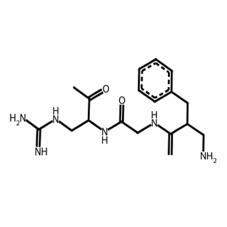 C=C(NCC(=O)NC(CNC(=N)N)C(C)=O)C(CN)Cc1ccccc1